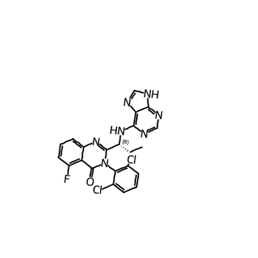 CC[C@@H](Nc1ncnc2[nH]cnc12)c1nc2cccc(F)c2c(=O)n1-c1c(Cl)cccc1Cl